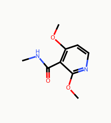 CNC(=O)c1c(OC)ccnc1OC